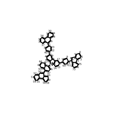 c1ccc2c(c1)cc(-c1ccc(-c3ccc4c(c3)c3cc(-c5ccc(-c6cc7ccccc7c7ccccc67)cc5)ccc3n4-c3ccc(-c4cc5ccccc5c5ccccc45)c4ccccc34)cc1)c1ccccc12